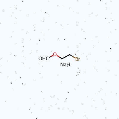 O=COCCBr.[NaH]